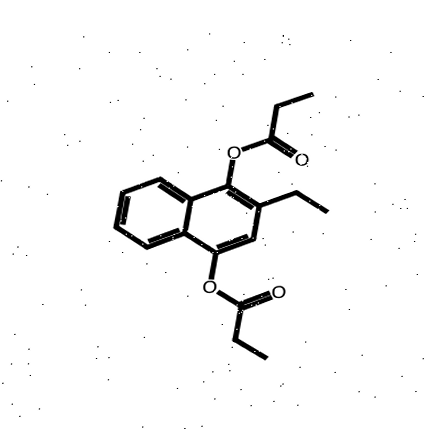 CCC(=O)Oc1cc(CC)c(OC(=O)CC)c2ccccc12